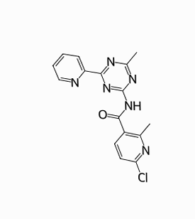 Cc1nc(NC(=O)c2ccc(Cl)nc2C)nc(-c2ccccn2)n1